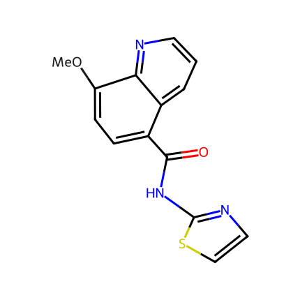 COc1ccc(C(=O)Nc2nccs2)c2cccnc12